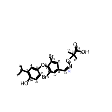 CC(C)c1cc(Oc2c(Br)cc(/C=N\OC(C)(C)C(=O)O)cc2Br)ccc1O